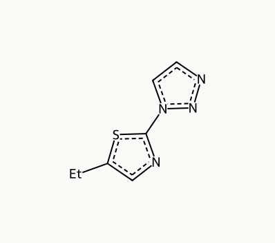 CCc1cnc(-n2ccnn2)s1